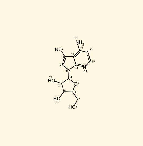 N#Cc1cn(C2OC(CO)C(O)C2O)c2ncnc(N)c12